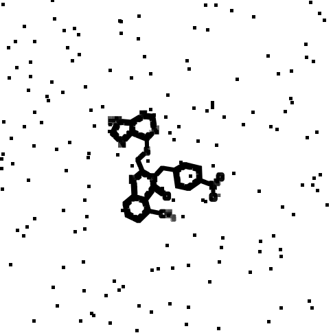 Cc1cccc2nc(CSc3ncnc4[nH]cnc34)n(Cc3ccc([N+](=O)[O-])cc3)c(=O)c12